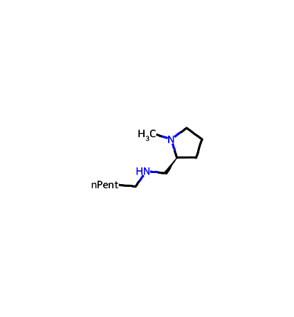 CCCCCCNC[C@@H]1CCCN1C